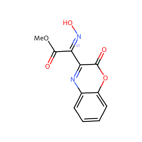 COC(=O)/C(=N\O)c1nc2ccccc2oc1=O